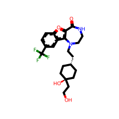 O=C1NCCN(CC[C@H]2CC[C@@](O)(CCO)CC2)c2c1oc1ccc(C(F)(F)F)cc21